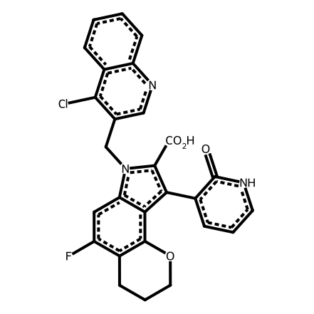 O=C(O)c1c(-c2ccc[nH]c2=O)c2c3c(c(F)cc2n1Cc1cnc2ccccc2c1Cl)CCCO3